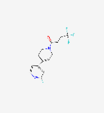 O=C(CCC(F)(F)F)N1CC=C(c2ccnc(F)c2)CC1